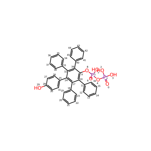 O=P(O)(O)OP(=O)(O)Oc1c(-c2ccccc2)c(-c2ccccc2)c(-c2ccc(O)cc2)c(-c2ccccc2)c1-c1ccccc1